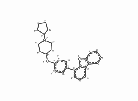 c1ccc2c(c1)oc1c(-c3cnc(OC4CCN(C5CCCC5)CC4)nc3)cccc12